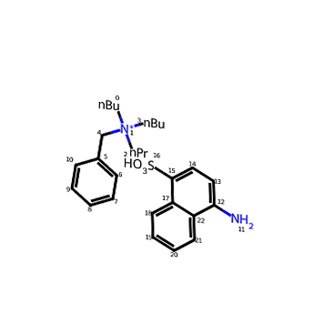 CCCC[N+](CCC)(CCCC)Cc1ccccc1.Nc1ccc(S(=O)(=O)O)c2ccccc12